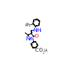 CC1=NN(c2ccc(C(=O)O)cc2)C(=O)C1=CNc1ccccc1C(C)C